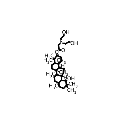 CC1(C)CC[C@]2(C)CC[C@]3(C)[C@H](CC[C@@H]4[C@@]5(C)CC[C@H](OC(=O)CN(CCO)CCO)C(C)(C)C5CC[C@]43C)C2[C@H]1O